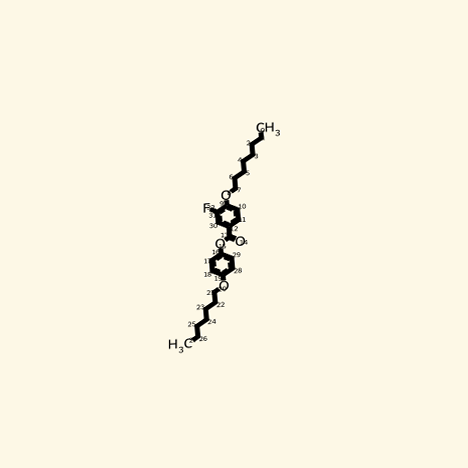 CCCCCCCCOc1ccc(C(=O)Oc2ccc(OCCCCCCC)cc2)cc1F